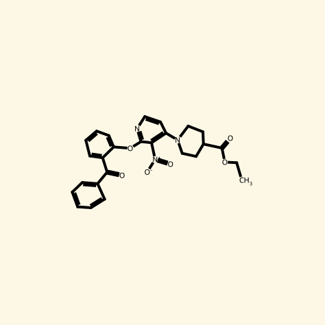 CCOC(=O)C1CCN(c2ccnc(Oc3ccccc3C(=O)c3ccccc3)c2[N+](=O)[O-])CC1